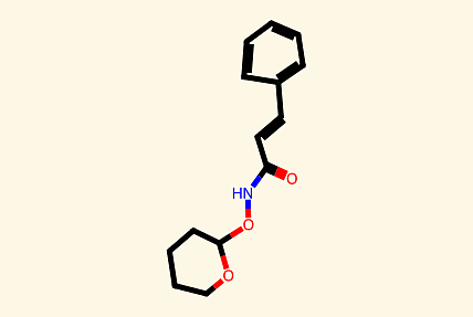 O=C(C=Cc1ccccc1)NOC1CCCCO1